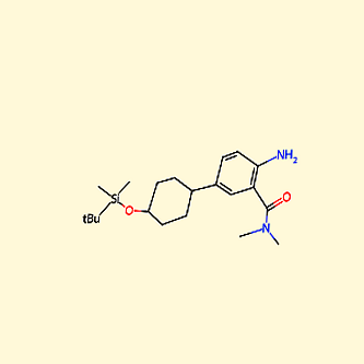 CN(C)C(=O)c1cc(C2CCC(O[Si](C)(C)C(C)(C)C)CC2)ccc1N